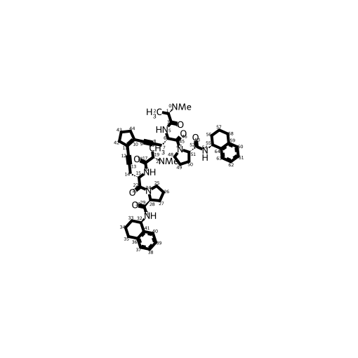 CN[C@@H](C)C(=O)N[C@@H](CC#CC1=C(C#CC[C@H](NC(=O)[C@H](C)NC)C(=O)N2CCC[C@H]2C(=O)N[C@@H]2CCCc3ccccc32)CCC1)C(=O)N1CCC[C@H]1C(=O)N[C@@H]1CCCc2ccccc21